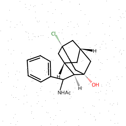 CC(=O)NC(c1ccccc1)[C@H]1[C@H]2C[C@@H]3C[C@](Cl)(C2)C[C@@]1(O)C3